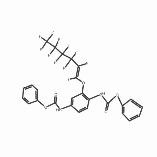 O=C(Nc1ccc(NC(=O)Oc2ccccc2)c(OC(F)=C(F)C(F)(F)C(F)(F)C(F)(F)C(F)(F)F)c1)Oc1ccccc1